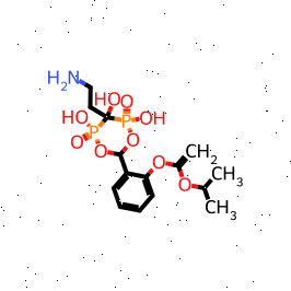 C=C(Oc1ccccc1C1OP(=O)(O)C(O)(CCN)P(=O)(O)O1)OC(C)C